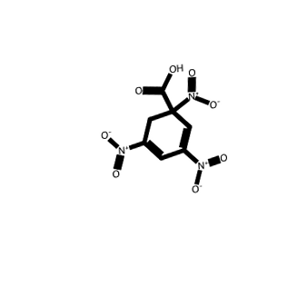 O=C(O)C1([N+](=O)[O-])C=C([N+](=O)[O-])C=C([N+](=O)[O-])C1